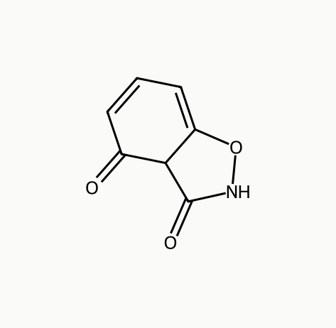 O=C1C=CC=C2ONC(=O)C12